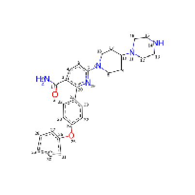 NC(=O)c1ccc(N2CCC(N3CCNCC3)CC2)nc1-c1ccc(Oc2ccccc2)cc1